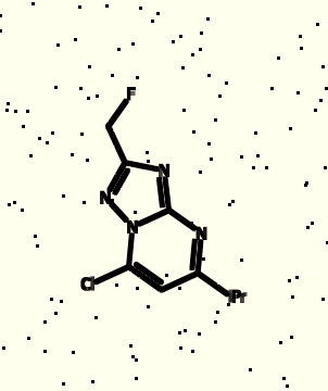 CC(C)c1cc(Cl)n2nc(CF)nc2n1